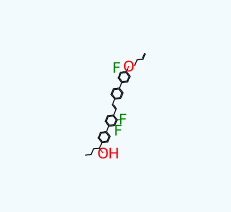 C=CCCOc1ccc(-c2ccc(/C=C/c3ccc(-c4ccc(C(O)CCC)cc4)c(F)c3F)cc2)cc1F